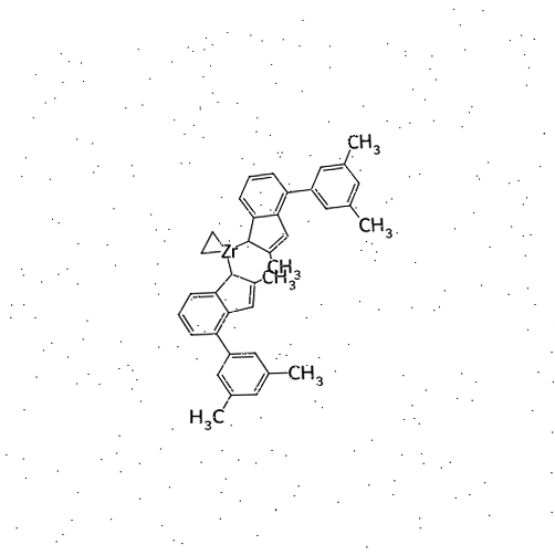 CC1=Cc2c(-c3cc(C)cc(C)c3)cccc2[CH]1[Zr]1([CH]2C(C)=Cc3c(-c4cc(C)cc(C)c4)cccc32)[CH2][CH2]1